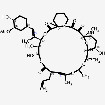 C=CC[C@@H]1/C=C(\C)CC(C)C[C@H](C)[C@H]2O[C@@](O)(C(=O)C(=O)N3CCCC[C@H]3C(=O)O[C@H](/C(C)=C/[C@@H]3CC[C@@H](O)[C@H](OC)C3)[C@H](C)[C@@H](O)CC1=O)[C@H](C)C[C@@H]2O